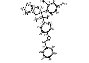 OC(Cn1cnnn1)(c1ccc(F)cc1F)C(F)(F)c1ccc(OCc2ccccc2)cn1